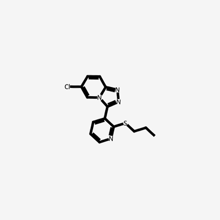 CCCSc1ncccc1-c1nnc2ccc(Cl)cn12